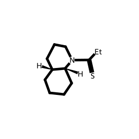 CCC(=S)N1CCC[C@H]2CCCC[C@H]21